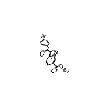 CCC(C)OC(=O)c1ccc2c(C(=O)c3ccc(Br)cc3)cnn2c1